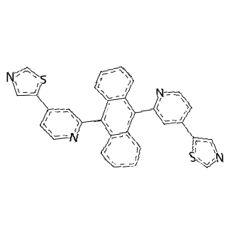 c1ccc2c(-c3cc(-c4cncs4)ccn3)c3ccccc3c(-c3cc(-c4cncs4)ccn3)c2c1